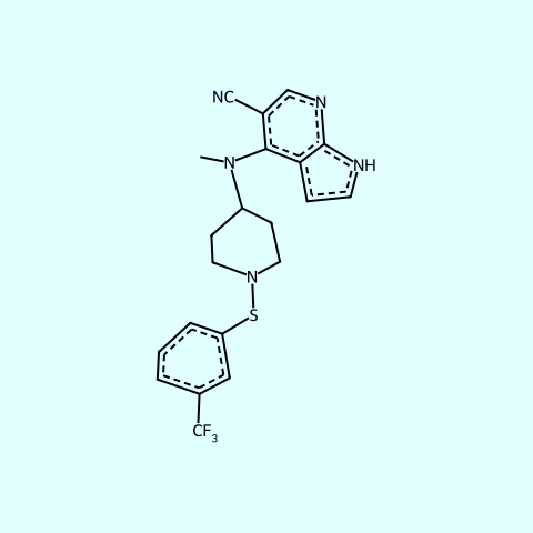 CN(c1c(C#N)cnc2[nH]ccc12)C1CCN(Sc2cccc(C(F)(F)F)c2)CC1